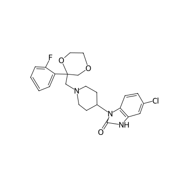 O=c1[nH]c2cc(Cl)ccc2n1C1CCN(CC2(c3ccccc3F)COCCO2)CC1